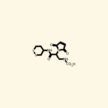 O=C(O)NCC(C(=O)NC1CCSSC1)N1C(=O)C=CC1=O